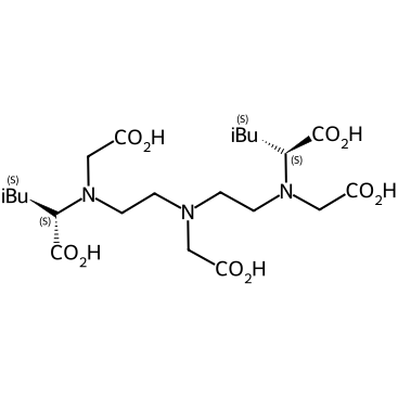 CC[C@H](C)[C@@H](C(=O)O)N(CCN(CCN(CC(=O)O)[C@H](C(=O)O)[C@@H](C)CC)CC(=O)O)CC(=O)O